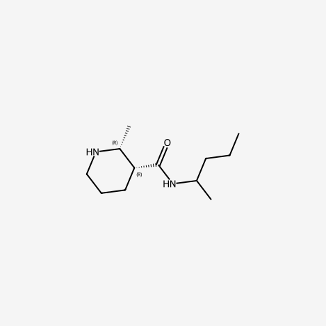 CCCC(C)NC(=O)[C@@H]1CCCN[C@@H]1C